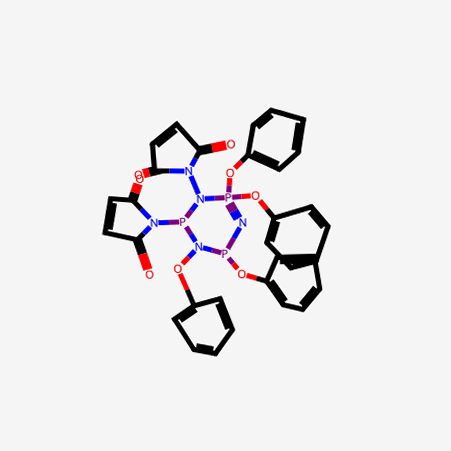 O=C1C=CC(=O)N1N1P(N2C(=O)C=CC2=O)N(Oc2ccccc2)P(Oc2ccccc2)N=P1(Oc1ccccc1)Oc1ccccc1